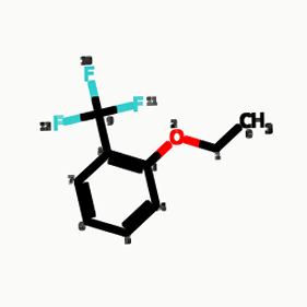 CCOc1[c]cccc1C(F)(F)F